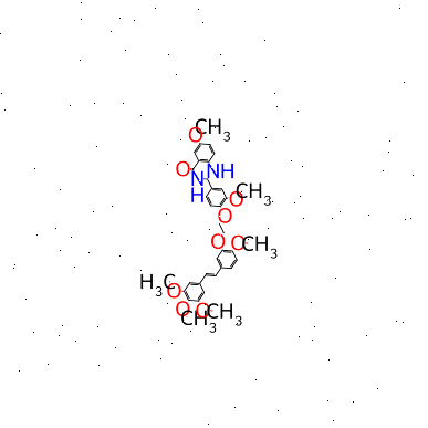 COc1ccc2c(c1)C(=O)NC(c1ccc(OCCOc3cc(C=Cc4cc(OC)c(OC)c(OC)c4)ccc3OC)c(OC)c1)N2